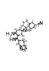 N#Cc1ccc2c(c1)CCCC2Nc1ccc(N)c(C(=N)c2ccc3scnc3c2)c1